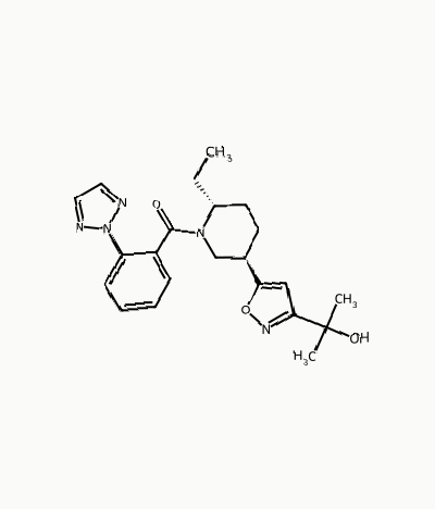 CC[C@@H]1CC[C@@H](c2cc(C(C)(C)O)no2)CN1C(=O)c1ccccc1-n1nccn1